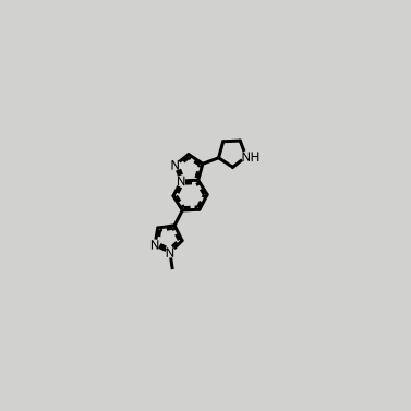 Cn1cc(-c2ccc3c(C4CCNC4)cnn3c2)cn1